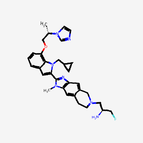 C[C@@H](COc1cccc2cc(-c3nc4cc5c(cc4n3C)CCN(C[C@H](N)CF)C5)n(CC3CC3)c12)n1ccnc1